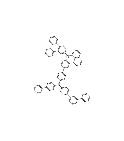 C1=CCCC(c2cc(N(c3ccc(-c4ccc(N(c5ccc(-c6ccccc6)cc5)c5ccc(-c6cccc(-c7ccccc7)c6)cc5)cc4)cc3)c3cccc4c3CCC=C4)ccc2-c2ccccc2)=C1